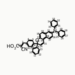 N#C/C(=C\c1ccc(C2(c3ccccc3)C=Cc3c(ccc4cc(N(c5ccccc5)c5ccccc5)ccc34)O2)cc1)C(=O)O